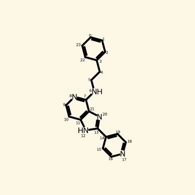 c1ccc(CCNc2nccc3[nH]c(-c4ccncc4)nc23)cc1